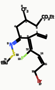 C=CC(/C(CC(CC(=O)OCC)C(F)(F)F)=N\SC(C)(C)C)=C(F)\C=C/CBr